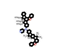 CCCCCCCC1(CCCCCCC)c2cc(N(c3ccncc3)c3ccc4c(c3)C(C)(C)c3cc5c(cc3-4)C(C)(C)c3ccc4oc6ccccc6c4c3-5)ccc2-c2c1c1c(c3c2oc2ccccc23)-c2ccccc2C1(CCCCCCC)CCCCCCC